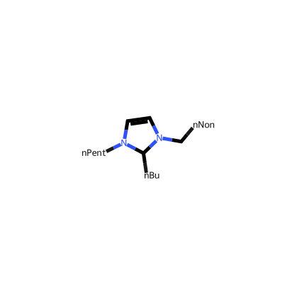 CCCCCCCCCCN1C=CN(CCCCC)C1CCCC